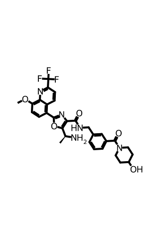 COc1ccc(-c2nc(C(=O)NCc3cccc(C(=O)N4CCC(O)CC4)c3)c([C@H](C)N)o2)c2ccc(C(F)(F)F)nc12